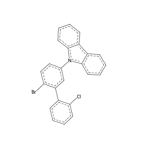 Clc1ccccc1-c1cc(-n2c3ccccc3c3ccccc32)ccc1Br